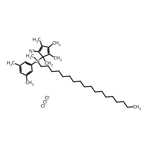 CCCCCCCCCCCCCCCCCC[Si](C)(c1cc(C)cc(C)c1)C1(C)C(C)=C(C)C(C)=[C]1[Ti+3].[Cl-].[Cl-].[Cl-]